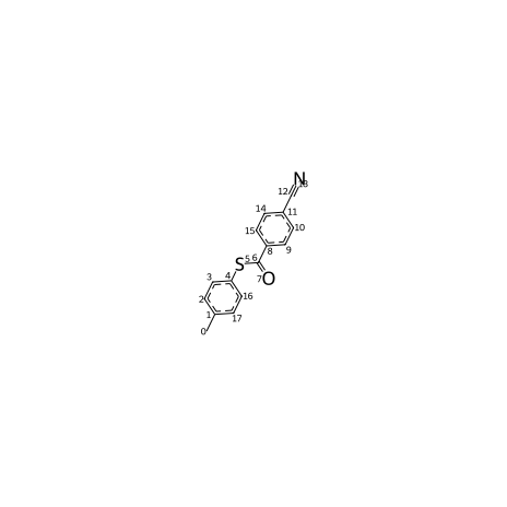 Cc1ccc(SC(=O)c2ccc(C#N)cc2)cc1